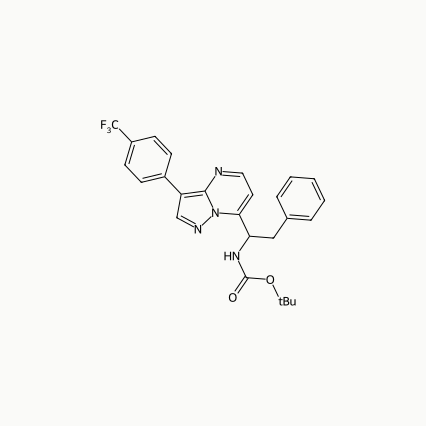 CC(C)(C)OC(=O)NC(Cc1ccccc1)c1ccnc2c(-c3ccc(C(F)(F)F)cc3)cnn12